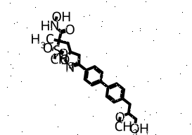 COC(CO)Cc1ccc(-c2ccc(C3=NOC(CC(C)(C(=O)NO)S(C)(=O)=O)C3)cc2)cc1